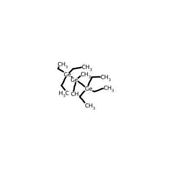 C[CH2][Ge]([CH2]C)([CH2]C)[Ge]([CH3])([CH3])[Ge]([CH2]C)([CH2]C)[CH2]C